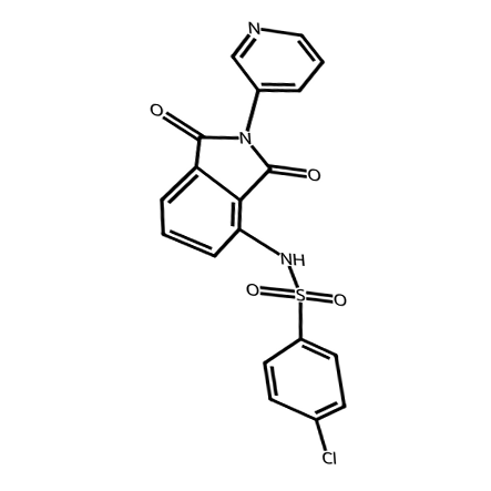 O=C1c2cccc(NS(=O)(=O)c3ccc(Cl)cc3)c2C(=O)N1c1cccnc1